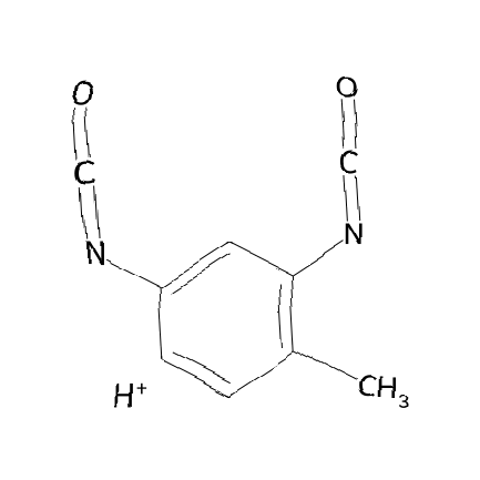 Cc1ccc(N=C=O)cc1N=C=O.[H+]